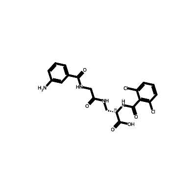 Nc1cccc(C(=O)NCC(=O)NC[C@H](NC(=O)c2c(Cl)cccc2Cl)C(=O)O)c1